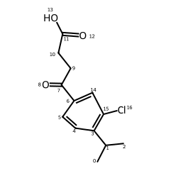 CC(C)c1ccc(C(=O)CCC(=O)O)cc1Cl